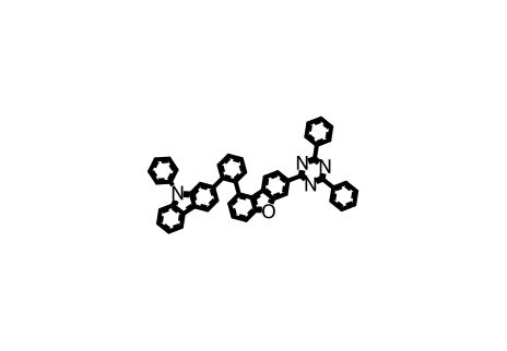 c1ccc(-c2nc(-c3ccccc3)nc(-c3ccc4c(c3)oc3cccc(-c5ccccc5-c5ccc6c7ccccc7n(-c7ccccc7)c6c5)c34)n2)cc1